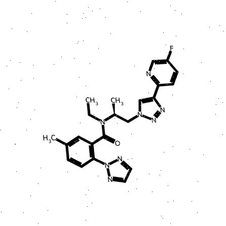 CCN(C(=O)c1cc(C)ccc1-n1nccn1)[C@@H](C)Cn1cc(-c2ccc(F)cn2)nn1